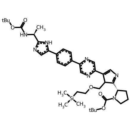 C[C@H](NC(=O)OC(C)(C)C)c1ncc(-c2ccc(-c3cnc(C4=CN=C([C@@H]5CCCN5C(=O)OC(C)(C)C)C4COCC[Si](C)(C)C)cn3)cc2)[nH]1